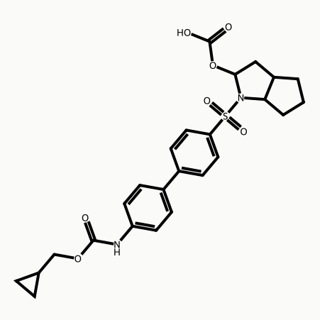 O=C(O)OC1CC2CCCC2N1S(=O)(=O)c1ccc(-c2ccc(NC(=O)OCC3CC3)cc2)cc1